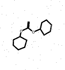 C=C(OC1CCCCC1)OC1CCCCC1